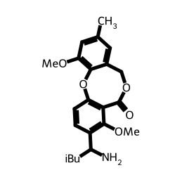 CCC(C)C(N)c1ccc2c(c1OC)C(=O)OCc1cc(C)cc(OC)c1O2